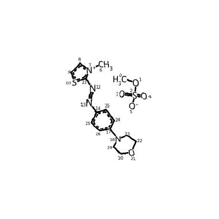 COS(=O)(=O)[O-].C[n+]1ccsc1N=Nc1ccc(N2CCOCC2)cc1